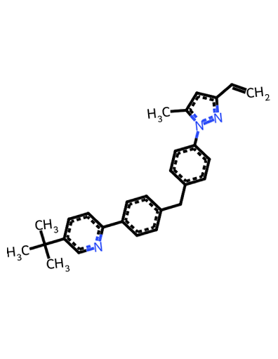 C=Cc1cc(C)n(-c2ccc(Cc3ccc(-c4ccc(C(C)(C)C)cn4)cc3)cc2)n1